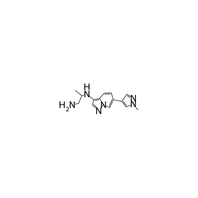 CC(CN)Nc1cnn2cc(-c3cnn(C)c3)ccc12